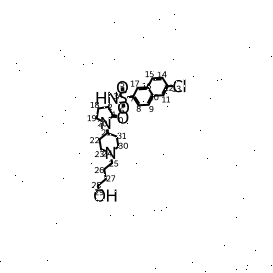 O=C1[C@@H](NS(=O)(=O)c2ccc3cc(Cl)ccc3c2)CCN1C1CCN(CCCCO)CC1